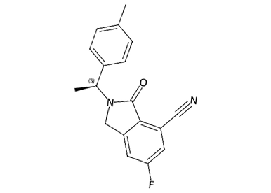 Cc1ccc([C@H](C)N2Cc3cc(F)cc(C#N)c3C2=O)cc1